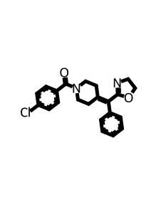 O=C(c1ccc(Cl)cc1)N1CCC(=C(C2=NCCO2)c2ccccc2)CC1